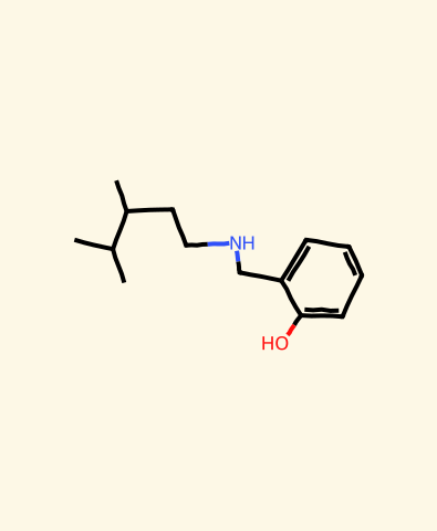 CC(C)C(C)CCNCc1ccccc1O